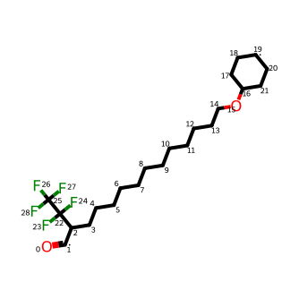 O=[C]C(CCCCCCCCCCCCOC1CC[CH]CC1)C(F)(F)C(F)(F)F